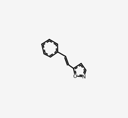 C(=Cc1ccno1)c1ccccc1